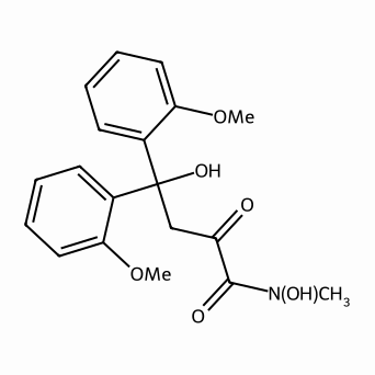 COc1ccccc1C(O)(CC(=O)C(=O)N(C)O)c1ccccc1OC